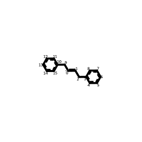 [C](=C\Cc1ccccc1)/Cc1ccccc1